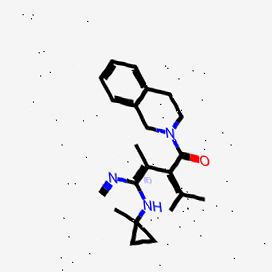 C=N/C(NC1(C)CC1)=C(\C)C(C(=O)N1CCc2ccccc2C1)=C(C)C